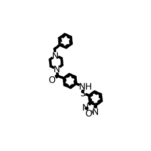 O=C(c1ccc(NSc2cccc3nonc23)cc1)N1CCN(Cc2ccccc2)CC1